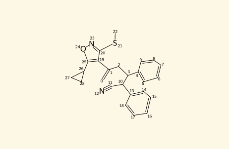 C=C(CC(c1ccccc1)C(C#N)c1ccccc1)c1c(SC)noc1C1CC1